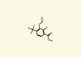 COC(=O)c1ccc(C(F)(F)F)c(SCCl)c1F